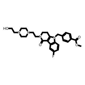 COC(=O)c1ccc(Cn2c3c(c4cc(F)ccc42)C(=O)N(CCN2CCN(CCO)CC2)CC3)cc1